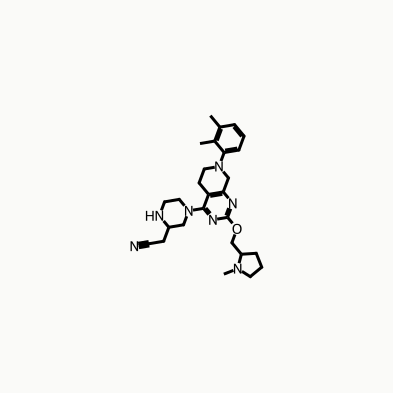 Cc1cccc(N2CCc3c(nc(OCC4CCCN4C)nc3N3CCNC(CC#N)C3)C2)c1C